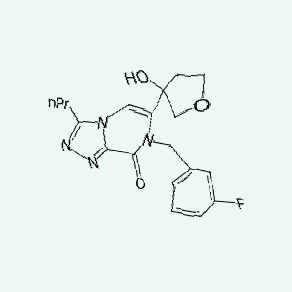 CCCc1nnc2c(=O)n(Cc3cccc(F)c3)c(C3(O)CCOC3)cn12